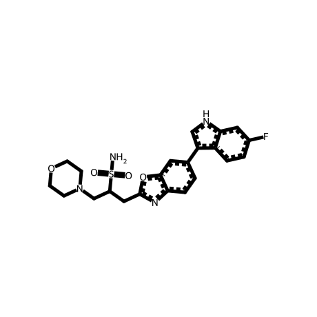 NS(=O)(=O)C(Cc1nc2ccc(-c3c[nH]c4cc(F)ccc34)cc2o1)CN1CCOCC1